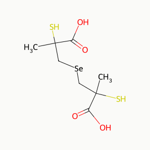 CC(S)(C[Se]CC(C)(S)C(=O)O)C(=O)O